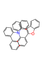 c1ccc(-c2ccccc2N(c2ccccc2)c2ccccc2-c2oc3ccccc3c2-c2ccccc2)cc1